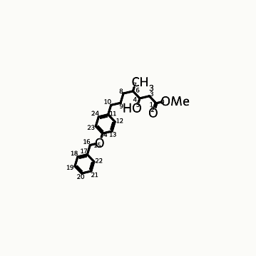 COC(=O)CC(O)C(C)CCCc1ccc(OCc2ccccc2)cc1